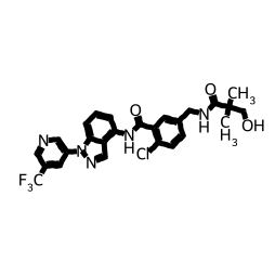 CC(C)(CO)C(=O)NCc1ccc(Cl)c(C(=O)Nc2cccc3c2cnn3-c2cncc(C(F)(F)F)c2)c1